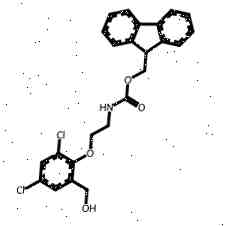 O=C(NCCOc1c(Cl)cc(Cl)cc1CO)OCC1c2ccccc2-c2ccccc21